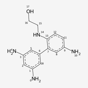 Nc1cc(N)cc(-c2cc(N)ccc2NCCO)c1